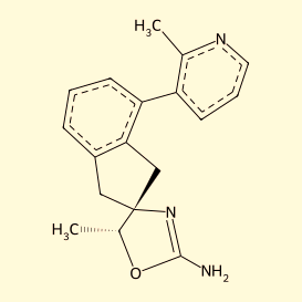 Cc1ncccc1-c1cccc2c1C[C@@]1(C2)N=C(N)O[C@@H]1C